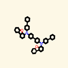 C1=CC2Oc3c(cccc3N(c3ccc(-c4ccccc4)cc3)c3ccc(-c4ccc(N(c5ccc(-c6ccccc6)cc5)c5cccc6c5oc5ccccc56)cc4)cc3)C2C=C1